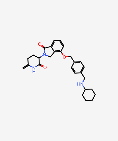 C=C1CCC(N2Cc3c(OCc4ccc(CNC5CCCCC5)cc4)cccc3C2=O)C(=O)N1